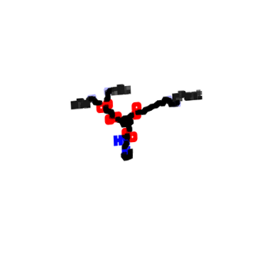 CCCC/C=C\CCOC(CCC(=O)OCc1cc(COC(=O)CCCCCCC/C=C\C/C=C\CCCCC)cc(COC(=O)NCCN2CCCC2)c1)OCC/C=C\CCCC